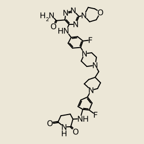 NC(=O)c1nnc(N2CCOCC2)nc1Nc1ccc(N2CCN(CC3CCN(c4ccc(NC5CCC(=O)NC5=O)c(F)c4)CC3)CC2)c(F)c1